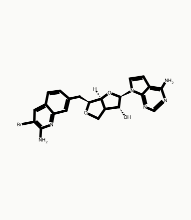 Nc1nc2cc(C[C@@H]3OCC4[C@@H](O)[C@H](n5ccc6c(N)ncnc65)O[C@@H]43)ccc2cc1Br